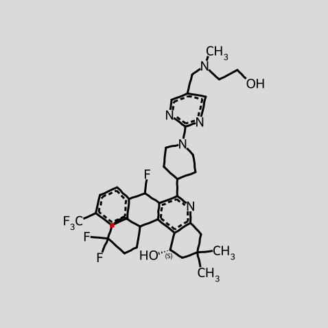 CN(CCO)Cc1cnc(N2CCC(c3nc4c(c(C5CCC(F)(F)CC5)c3C(F)c3ccc(C(F)(F)F)cc3)[C@@H](O)CC(C)(C)C4)CC2)nc1